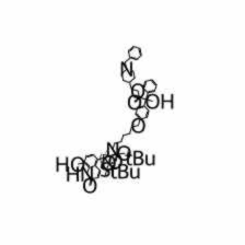 CC(C)(C)OC(=O)N(CCCCCOc1ccc(C(O)(C(=O)OCC2CCN(Cc3ccccc3)CC2)c2ccccc2)cc1)C[C@H](O[Si](C)(C)C(C)(C)C)c1ccc(O)c2[nH]c(=O)ccc12